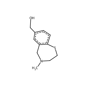 CN1CCSc2ccc(CO)cc2C1